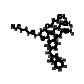 CCCCOC[C@@H]1C[C@H](OCCCC)[C@@H](OCCCC)[C@H](c2cc(Cc3cc4ccccc4s3)ccc2OCCN)O1